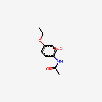 CCOc1ccc(NC(C)=O)cc1.O